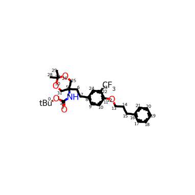 CC(C)(C)OC(=O)NC1(CCc2ccc(OCCCc3ccccc3)c(C(F)(F)F)c2)COC(C)(C)OC1